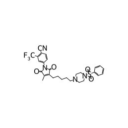 CC1=C(CCCCCN2CCN(S(=O)(=O)c3ccccc3)CC2)C(=O)N(c2ccc(C#N)c(C(F)(F)F)c2)C1=O